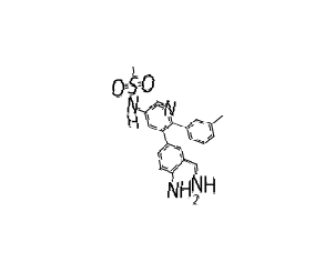 Cc1cccc(-c2ncc(NS(C)(=O)=O)cc2-c2ccc(N)c(C=N)c2)c1